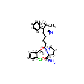 CC(C)[C@@](C#N)(CCCCC(=O)[N@@+]1(CCc2ccccc2Cl)CCCC1C(N)=O)c1ccccc1